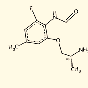 Cc1cc(F)c(NC=O)c(OC[C@@H](C)N)c1